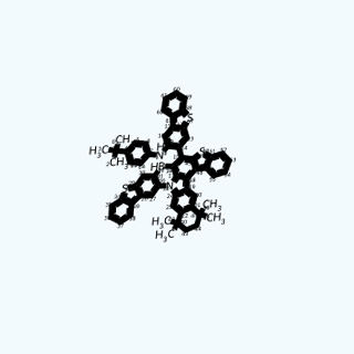 CC(C)(C)c1ccc(Nc2cc3c(cc2-c2c4c5c(c6cc7c(cc6n5-c5cc6c(cc5B4)sc4ccccc46)C(C)(C)CCC7(C)C)c4c2sc2ccccc24)sc2ccccc23)cc1